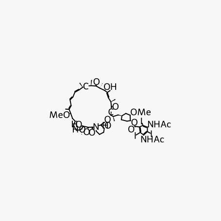 CO[C@H]1C[C@@H]2CC[C@@H](C)[C@@](O)(O2)C(=O)C(=O)N2CCCC[C@H]2C(=O)O[C@H]([C@H](C)C[C@@H]2CC[C@@H](OC(=O)c3c(I)c(NC(C)=O)c(I)c(NC(C)=O)c3I)[C@H](OC)C2)CC(=O)[C@H](C)/C=C(\C)[C@@H](O)[C@@H](C)C(=O)[C@H](C)C[C@H](C)/C=C/C=C/C=C/1C